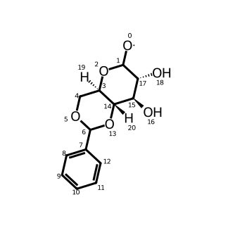 [O]C1O[C@@H]2COC(c3ccccc3)O[C@H]2[C@H](O)[C@H]1O